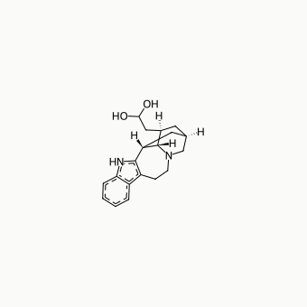 OC(O)C[C@H]1C[C@@H]2C[C@H]3c4[nH]c5ccccc5c4CCN(C2)[C@@H]13